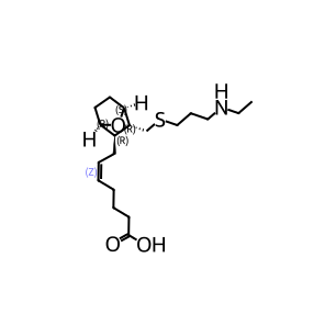 CCNCCCSC[C@@H]1[C@@H](C/C=C\CCCC(=O)O)[C@H]2CC[C@@H]1O2